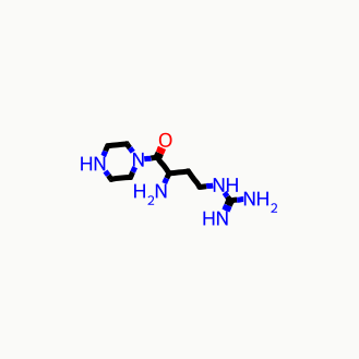 N=C(N)NCCC(N)C(=O)N1CCNCC1